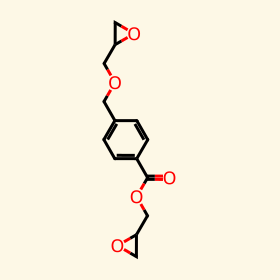 O=C(OCC1CO1)c1ccc(COCC2CO2)cc1